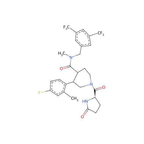 Cc1cc(F)ccc1C1CN(C(=O)[C@H]2CCC(=O)N2)CCC1C(=O)N(C)Cc1cc(C(F)(F)F)cc(C(F)(F)F)c1